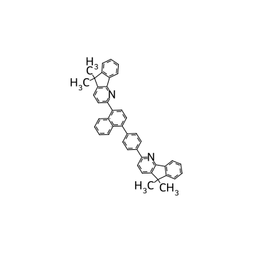 CC1(C)c2ccccc2-c2nc(-c3ccc(-c4ccc(-c5ccc6c(n5)-c5ccccc5C6(C)C)c5ccccc45)cc3)ccc21